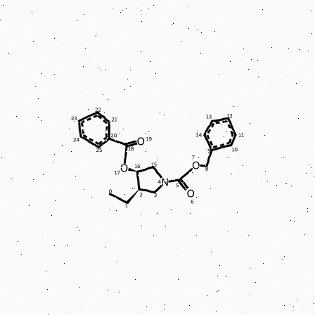 CC[C@@H]1CN(C(=O)OCc2ccccc2)C[C@@H]1OC(=O)c1ccccc1